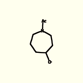 CC(=O)N1CCCC([O])CC1